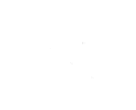 Cl.Oc1cccc(/C=C(\F)c2cc3c(cn2)CNCC3)c1Cl